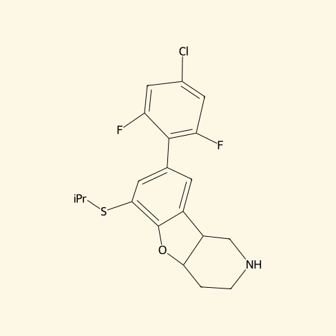 CC(C)Sc1cc(-c2c(F)cc(Cl)cc2F)cc2c1OC1CCNCC21